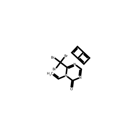 C=Cn1c(C(Br)(Br)Br)ncnc1=O.c1cc2ccc1-2